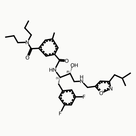 CCCN(CCC)C(=O)c1cc(C)cc(C(=O)N[C@@H](Cc2cc(F)cc(F)c2)[C@H](O)CNCc2cc(CC(C)C)no2)c1